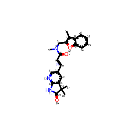 Cc1c(CN(C)C(=O)/C=C/c2cnc3c(c2)C(C)(C)C(=O)N3)oc2ccccc12